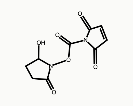 O=C1C=CC(=O)N1C(=O)ON1C(=O)CCC1O